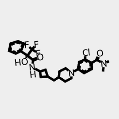 CN(C)C(=O)c1ccc(N2CCC(CC3CC(NC(=O)[C@](O)(c4ccccc4)C(F)(F)F)C3)CC2)cc1Cl